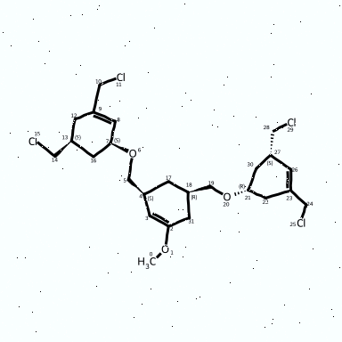 COC1=C[C@@H](CO[C@@H]2C=C(CCl)C[C@H](CCl)C2)C[C@@H](CO[C@H]2CC(CCl)=C[C@@H](CCl)C2)C1